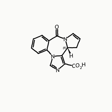 O=C(O)c1ncn2c1[C@H]1CC=CN1C(=O)c1ccccc1-2